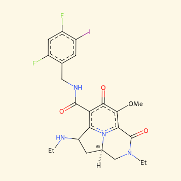 CCNC1C[C@@H]2CN(CC)C(=O)c3c(OC)c(=O)c(C(=O)NCc4cc(I)c(F)cc4F)c1n32